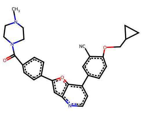 CN1CCN(C(=O)c2ccc(-c3cc4nccc(-c5ccc(OCC6CC6)c(C#N)c5)c4o3)cc2)CC1